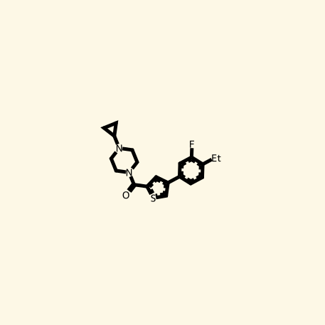 CCc1ccc(-c2csc(C(=O)N3CCN(C4CC4)CC3)c2)cc1F